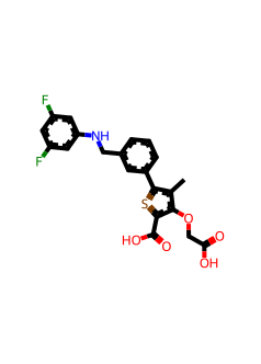 Cc1c(-c2cccc(CNc3cc(F)cc(F)c3)c2)sc(C(=O)O)c1OCC(=O)O